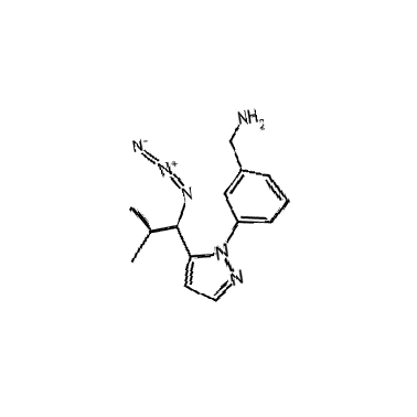 CC(C)C(N=[N+]=[N-])c1ccnn1-c1cccc(CN)c1